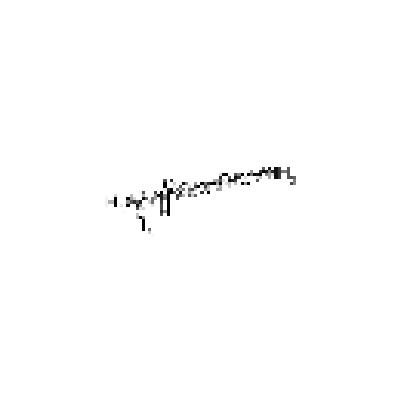 CC(C)CCCNC(=O)COCCOCCOCCOCCCN